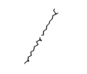 CCC(=O)CCCCCCCC(=O)OCCCCCCCCC(C)(O)CC